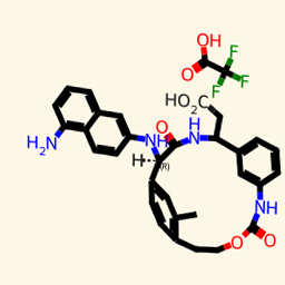 Cc1cc2ccc1CCOC(=O)Nc1cccc(c1)C(CC(=O)O)NC(=O)[C@@H]2Nc1ccc2c(N)cccc2c1.O=C(O)C(F)(F)F